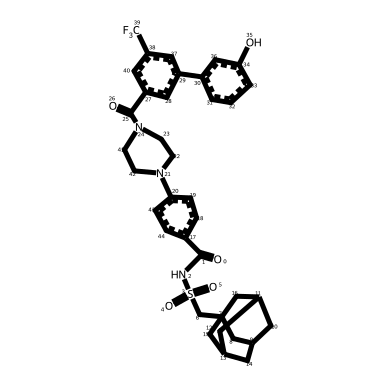 O=C(NS(=O)(=O)CC12CC3CC(CC(C3)C1)C2)c1ccc(N2CCN(C(=O)c3cc(-c4cccc(O)c4)cc(C(F)(F)F)c3)CC2)cc1